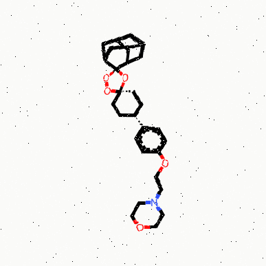 c1cc([C@H]2CC[C@]3(CC2)OO[C@]2(O3)C3CC4CC(C3)CC2C4)ccc1OCCN1CCOCC1